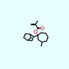 C=C(C)C(=O)OC1(C2CC3CCC2C3)CCCCC(C)C1